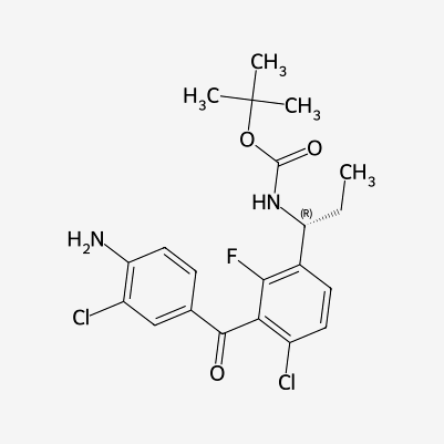 CC[C@@H](NC(=O)OC(C)(C)C)c1ccc(Cl)c(C(=O)c2ccc(N)c(Cl)c2)c1F